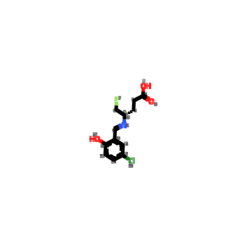 O=C(O)CC[C@@H](CF)N=Cc1cc(Cl)ccc1O